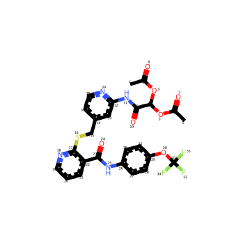 CC(=O)OC(OC(C)=O)C(=O)Nc1cc(CSc2ncccc2C(=O)Nc2ccc(OC(F)(F)F)cc2)ccn1